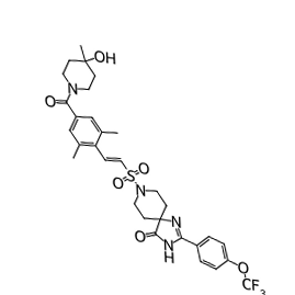 Cc1cc(C(=O)N2CCC(C)(O)CC2)cc(C)c1C=CS(=O)(=O)N1CCC2(CC1)N=C(c1ccc(OC(F)(F)F)cc1)NC2=O